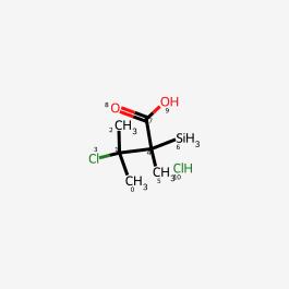 CC(C)(Cl)C(C)([SiH3])C(=O)O.Cl